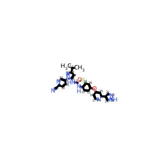 CC(C)c1cc(NC(=O)Nc2ccc(Oc3ccnc(-c4cn[nH]c4)c3)cc2F)n(-c2ccc(C#N)nc2)n1